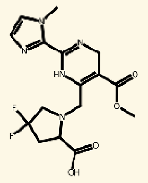 COC(=O)C1=C(CN2CC(F)(F)CC2C(=O)O)NC(c2nccn2C)=NC1